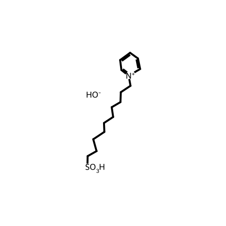 O=S(=O)(O)CCCCCCCCCC[n+]1ccccc1.[OH-]